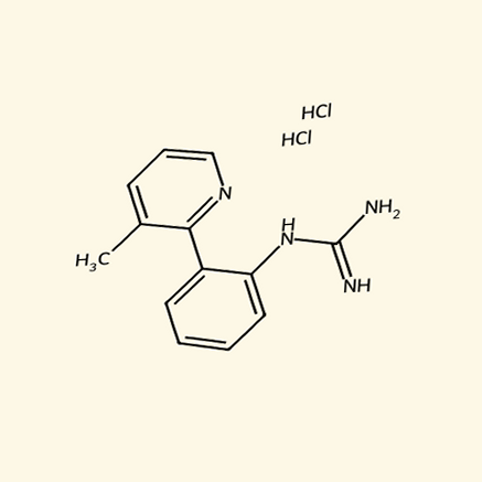 Cc1cccnc1-c1ccccc1NC(=N)N.Cl.Cl